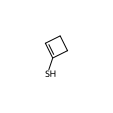 SC1=CCC1